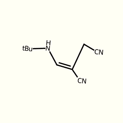 CC(C)(C)NC=C(C#N)CC#N